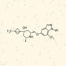 CC(C)n1ncc2cc(OC[C@@H]3C[C@](O)(C45CC(C(F)(F)F)(C4)C5)C[C@H](C)N3)cc(C(F)(F)F)c21